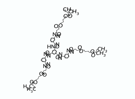 CCC(C)C(=O)OCCCCOC(=O)CCc1nc(-c2cccc(C3=NOC(c4cc(-c5nc(-c6cccc(-c7noc(CCC(=O)OCCCCOC(=O)C(C)CC)n7)c6)no5)cc(-c5nc(-c6cccc(-c7noc(CCC(=O)OCCCCOC(=O)C(C)CC)n7)c6)no5)c4)N3)c2)no1